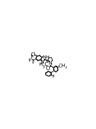 Cc1ccc(-c2ccccc2F)c(C(=O)N2CCC[C@@]2(C)c2nc3cc(C(F)(F)F)c(Cl)cc3[nH]2)c1